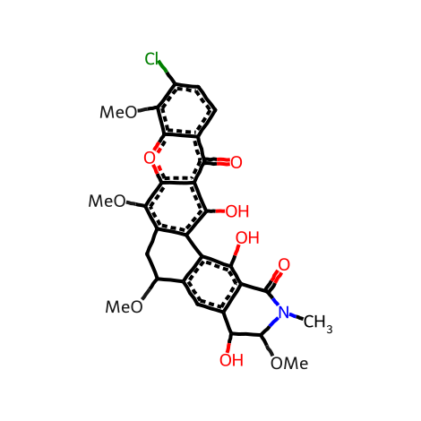 COc1c(Cl)ccc2c(=O)c3c(O)c4c(c(OC)c3oc12)CC(OC)c1cc2c(c(O)c1-4)C(=O)N(C)C(OC)C2O